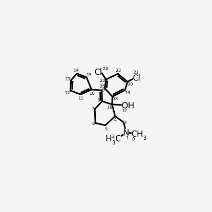 CN(C)CC1CCCC(=Cc2ccccc2)C1(O)c1cc(Cl)cc(Cl)c1